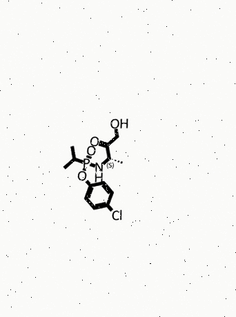 CC(C)P(=O)(N[C@@H](C)C(=O)CO)Oc1ccc(Cl)cc1